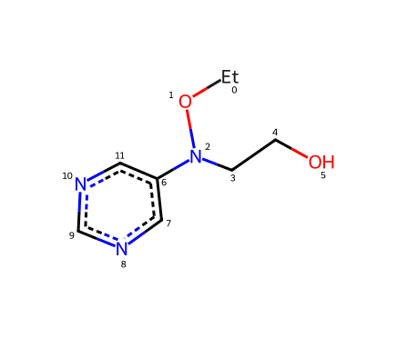 CCON(CCO)c1cncnc1